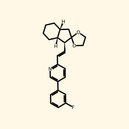 Fc1cccc(-c2ccc(/C=C/[C@H]3[C@@H]4CCCC[C@@H]4CC34OCCO4)nc2)c1